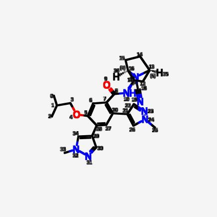 CC(C)COc1cc(C(=O)N[C@@H]2C[C@@H]3CC[C@H]2N3C#N)c(-c2cnn(C)c2)cc1-c1cnn(C)c1